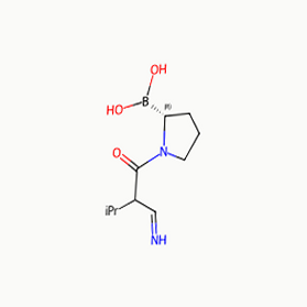 CC(C)C(C=N)C(=O)N1CCC[C@H]1B(O)O